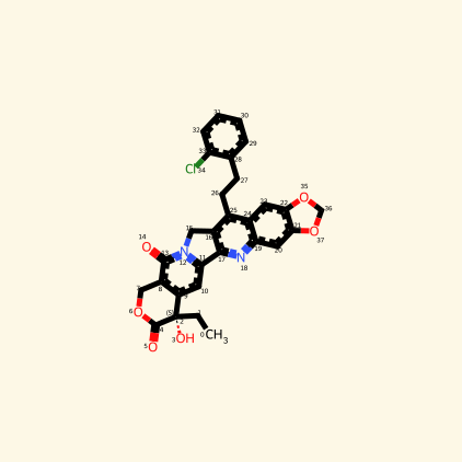 CC[C@@]1(O)C(=O)OCc2c1cc1n(c2=O)Cc2c-1nc1cc3c(cc1c2CCc1ccccc1Cl)OCO3